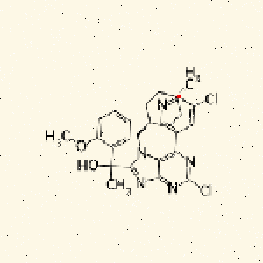 COc1ccccc1C(C)(O)c1nc2nc(Cl)nc(-c3cncc(Cl)c3)c2n1C[C@H]1CC[C@H](C)CC1